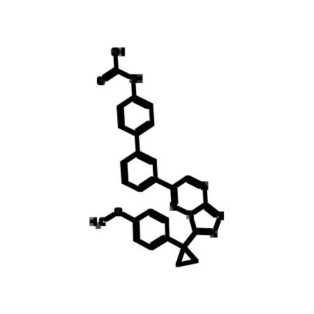 COc1ccc(C2(c3nnc4ncc(-c5cccc(-c6ccc(NC(=O)O)cc6)c5)nn34)CC2)cc1